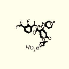 C[C@@H](NC(=O)c1cn(C2(C)CN(C(=O)O)C2)c(=O)cc1NC1CCN(C)CC1)c1cccc(C(F)F)c1F